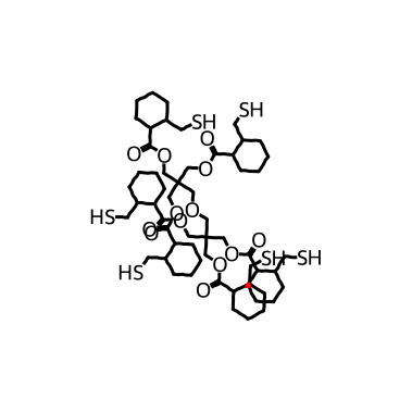 O=C(OCC(COCC(COC(=O)C1CCCCC1CS)(COC(=O)C1CCCCC1CS)COC(=O)C1CCCCC1CS)(COC(=O)C1CCCCC1CS)COC(=O)C1CCCCC1CS)C1CCCCC1CS